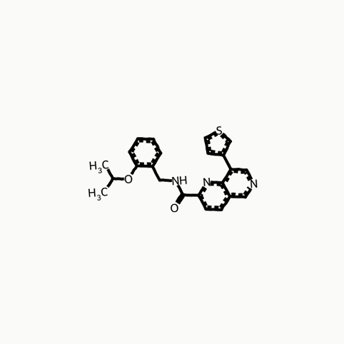 CC(C)Oc1ccccc1CNC(=O)c1ccc2cncc(-c3ccsc3)c2n1